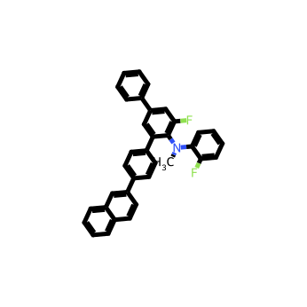 CN(c1ccccc1F)c1c(F)cc(-c2ccccc2)cc1-c1ccc(-c2ccc3ccccc3c2)cc1